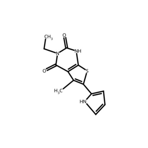 CCn1c(=O)[nH]c2sc(-c3ccc[nH]3)c(C)c2c1=O